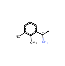 COc1c(C#N)cccc1[C@@H](C)N